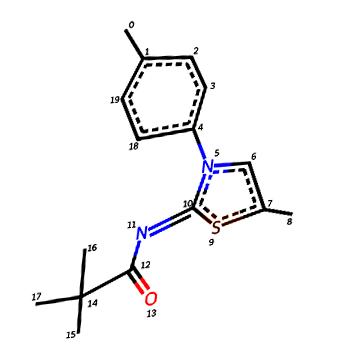 Cc1ccc(-n2cc(C)sc2=NC(=O)C(C)(C)C)cc1